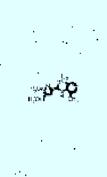 COc1cc(C(=O)Nc2c(C)cccc2C)nn1C